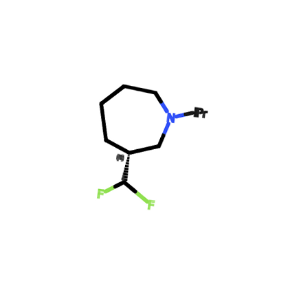 CC(C)N1CCCC[C@@H](C(F)F)C1